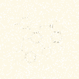 CC1CC(C)CN(c2c(F)cc(N3C(c4cc([N+](=O)[O-])c(Cl)cc4F)CC[C@@H]3c3cc([N+](=O)[O-])c(Cl)cc3F)cc2F)C1